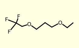 CCOCCCOCC(F)(F)F